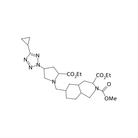 CCOC(=O)C1CC(n2nnc(C3CC3)n2)CN1CC1CCC2CN(C(=O)OC)C(C(=O)OCC)CC2C1